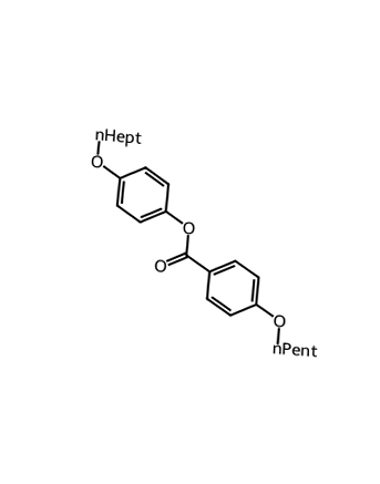 CCCCCCCOc1ccc(OC(=O)c2ccc(OCCCCC)cc2)cc1